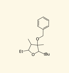 CCC1OC(C(C)(C)C)C(C)(OCc2ccccc2)C1C